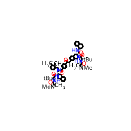 CN[C@@H](C)C(=O)N[C@H](C(=O)N1Cc2ccccc2C[C@H]1CN(Cc1cccc(C)c1C)C(=O)c1ccc(C(=O)Cc2ccc3c(c2)CN(C(=O)[C@@H](NC(=O)[C@H](C)NC)C(C)(C)C)[C@H](C(=O)N[C@@H]2CCCc4ccccc42)C3)cc1)C(C)(C)C